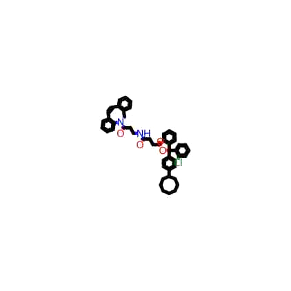 O=C(CCC(=O)OC(c1ccccc1)(c1ccc(C2CCCCCCC2)cc1)c1ccccc1Cl)NCCC(=O)N1Cc2ccccc2C#Cc2ccccc21